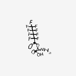 NP(=O)(O)OC(=O)C(F)(F)C(F)(F)C(F)(F)C(F)(F)F